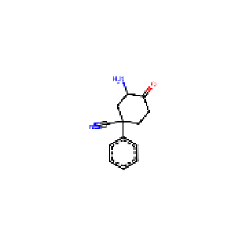 N#CC1(c2ccccc2)CCC(=O)C(N)C1